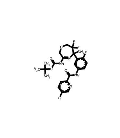 CC(C)(C)OC(=O)NC1=NC(C)(c2cc(NC(=O)c3ccc(Cl)cn3)ccc2F)C(F)(F)COC1